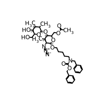 CC(=O)OCC1O[C@H](OCCCCCN(Cc2ccccc2)C(=O)OCc2ccccc2)C(N=[N+]=[N-])[C@@H](C)[C@@H]1O[C@@H]1OC(CO)[C@@H](O)[C@H](C)C1C